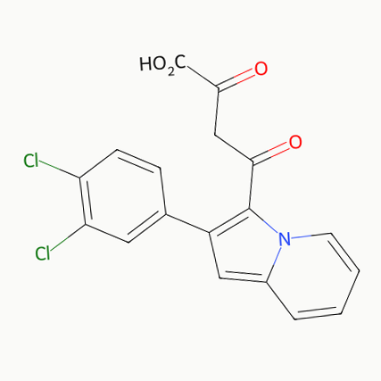 O=C(O)C(=O)CC(=O)c1c(-c2ccc(Cl)c(Cl)c2)cc2ccccn12